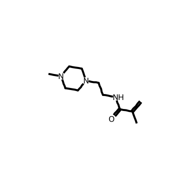 C=C(C)C(=O)NCCN1CCN(C)CC1